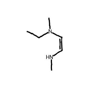 CCN(C)/C=C\NC